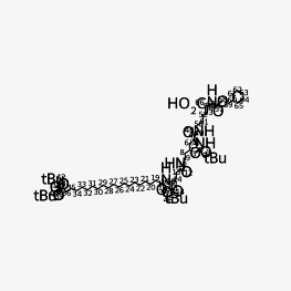 CC(C)(C)OC(=O)N[C@@H](CCCCNC(=O)CC[C@H](NC(=O)CCCCCCCCCCCCCCCCCCP(=O)(OC(C)(C)C)OC(C)(C)C)C(=O)OC(C)(C)C)C(=O)NCCCC[C@H](NC(=O)OCc1ccccc1)C(=O)O